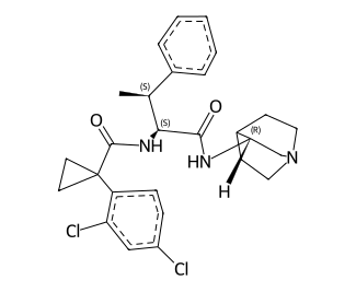 C[C@@H](c1ccccc1)[C@H](NC(=O)C1(c2ccc(Cl)cc2Cl)CC1)C(=O)N[C@H]1CN2CCC1CC2